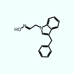 ON=CCn1cc(Cc2ccccc2)c2ccccc21